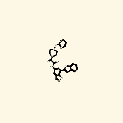 O=C(Nc1cc(-c2cc3ccccc3s2)c2[nH]ncc2c1)C(=O)N1CCN(Oc2ncccn2)CC1